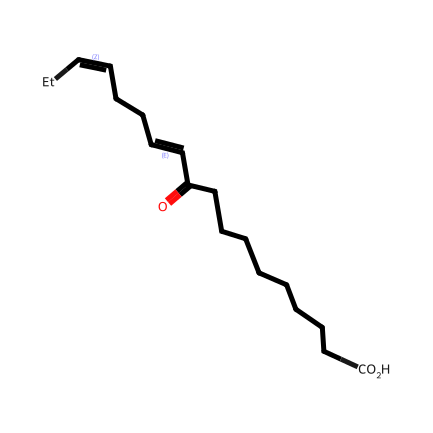 CC/C=C\CC/C=C/C(=O)CCCCCCCCC(=O)O